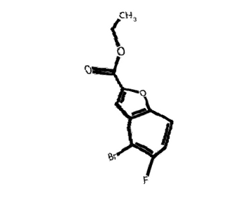 CCOC(=O)c1cc2c(Br)c(F)ccc2o1